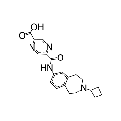 O=C(O)c1cnc(C(=O)Nc2ccc3c(c2)CCN(C2CCC2)CC3)cn1